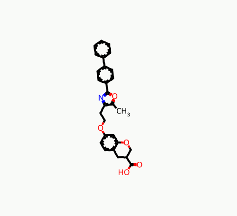 Cc1oc(-c2ccc(-c3ccccc3)cc2)nc1CCOc1ccc2c(c1)OCC(C(=O)O)C2